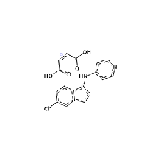 Clc1ccc2c(ccn2Nc2ccncc2)c1.O=C(O)/C=C\C(=O)O